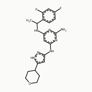 CC(Nc1cc(Nc2cc(C3CCOCC3)[nH]n2)nc(N)n1)c1ccc(F)cc1F